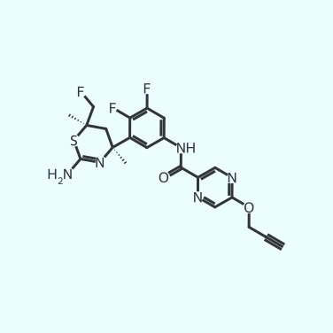 C#CCOc1cnc(C(=O)Nc2cc(F)c(F)c([C@]3(C)C[C@](C)(CF)SC(N)=N3)c2)cn1